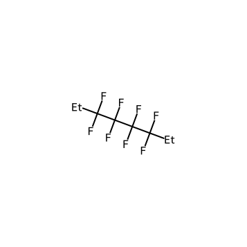 CCC(F)(F)C(F)(F)C(F)(F)C(F)(F)CC